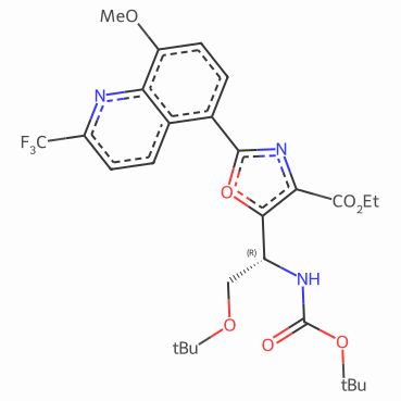 CCOC(=O)c1nc(-c2ccc(OC)c3nc(C(F)(F)F)ccc23)oc1[C@@H](COC(C)(C)C)NC(=O)OC(C)(C)C